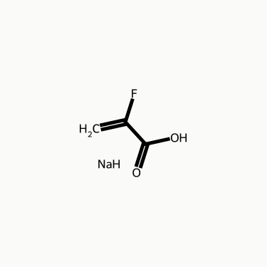 C=C(F)C(=O)O.[NaH]